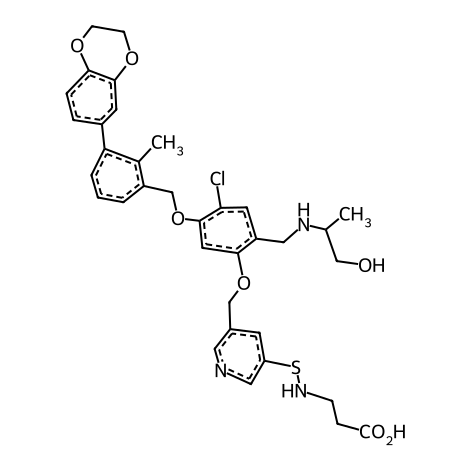 Cc1c(COc2cc(OCc3cncc(SNCCC(=O)O)c3)c(CNC(C)CO)cc2Cl)cccc1-c1ccc2c(c1)OCCO2